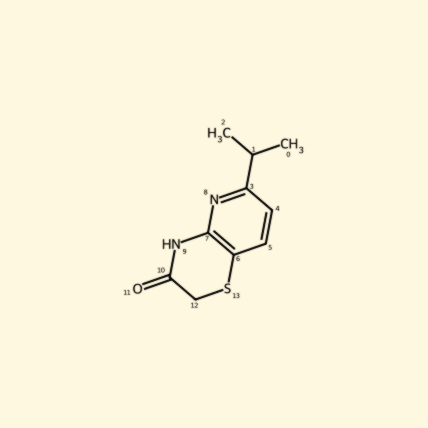 CC(C)c1ccc2c(n1)NC(=O)CS2